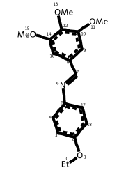 CCOc1ccc(/N=C/c2cc(OC)c(OC)c(OC)c2)cc1